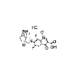 Cl.NCC12CN(c3c(F)cc4c(=O)c(C(=O)O)cn(C5CC5)c4c3F)C[C@H]1CCO2